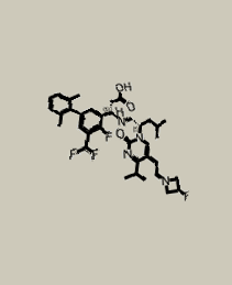 Cc1cccc(C)c1-c1cc(C(F)F)c(F)c([C@H](CC(=O)O)NC[C@H](CC(C)C)n2cc(CCN3CC(F)C3)c(C(C)C)nc2=O)c1